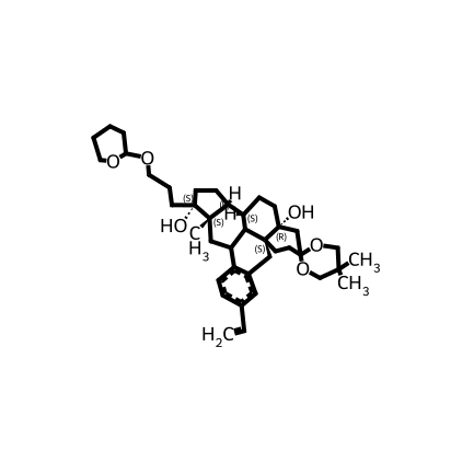 C=Cc1ccc2c(c1)C[C@]13CCC4(C[C@]1(O)CC[C@@H]1C3C2C[C@@]2(C)[C@@H]1CC[C@]2(O)CCCOC1CCCCO1)OCC(C)(C)CO4